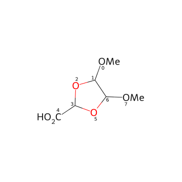 COC1OC(C(=O)O)OC1OC